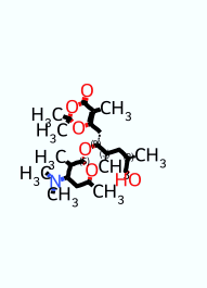 CC1=C(C[C@@H](O[C@@H]2OC(C)CC(N(C)C)C2C)[C@@H](C)C[C@@H](C)CO)OC(C)(C)OC1=O